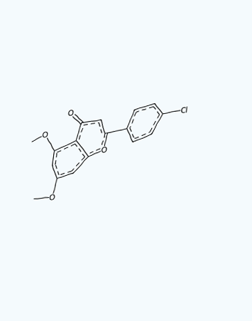 COc1cc(OC)c2c(=O)cc(-c3ccc(Cl)cc3)oc2c1